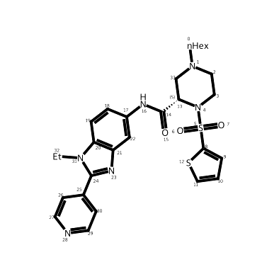 CCCCCCN1CCN(S(=O)(=O)c2cccs2)[C@H](C(=O)Nc2ccc3c(c2)nc(-c2ccncc2)n3CC)C1